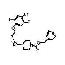 O=C(OCc1ccccc1)N1CCC(C2C[C@H]2CCOc2cc(F)c(Br)cc2F)CC1